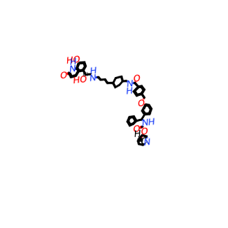 O=C(NC(c1ccccc1)c1cccc(OCc2ccc(C(=O)NCC3CCC(CCCCNC[C@@H](O)c4ccc(O)c5[nH]c(=O)ccc45)CC3)cc2)c1)O[C@H]1CN2CCC1CC2